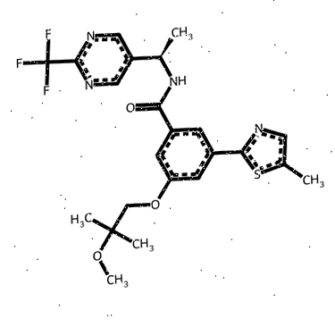 COC(C)(C)COc1cc(C(=O)N[C@H](C)c2cnc(C(F)(F)F)nc2)cc(-c2ncc(C)s2)c1